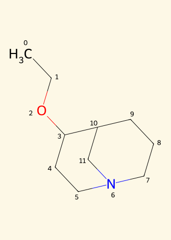 CCOC1CCN2CCCC1C2